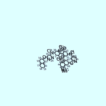 O=S(=O)([O-])c1cc(N(Cl)c2cc(Oc3ccc4ccccc4c3)ncn2)ccc1-c1ccc(N(Cl)c2cc(Oc3ccc4ccccc4c3)ncn2)cc1S(=O)(=O)[O-].[Na+].[Na+]